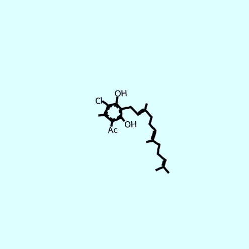 CC(=O)c1c(C)c(Cl)c(O)c(C/C=C(\C)CC/C=C(\C)CCC=C(C)C)c1O